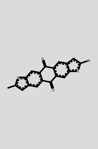 Cc1cc2cc3c(cc2s1)C(=O)c1cc2cc(Br)sc2cc1C3=O